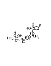 CC1(C)O/C(=C2\c3ccc(F)cc3NC2O)C=C1c1ccc(C(=O)NC[C@H]2O[C@H](CO)[C@@H](O)[C@H]2O)cc1